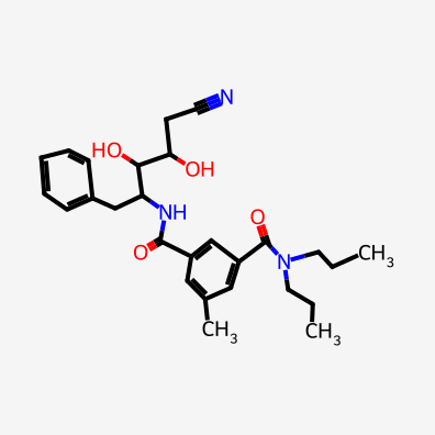 CCCN(CCC)C(=O)c1cc(C)cc(C(=O)NC(Cc2ccccc2)C(O)C(O)CC#N)c1